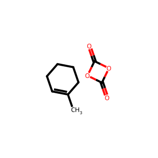 CC1=CCCCC1.O=C1OC(=O)O1